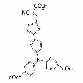 CCCCCCCCc1ccc(N(c2ccc(CCCCCCCC)cc2)c2ccc(-c3ccc(/C=C(\C#N)C(=O)O)s3)cc2)cc1